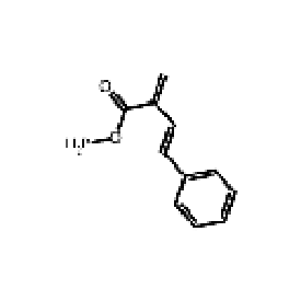 C=C(C=Cc1ccccc1)C(=O)OP